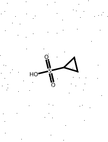 O=S(=O)(O)[C]1CC1